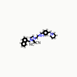 N#CC(C#N)=C1N(CCNCc2ccc(CN3CCCCC3)cc2)CCN1Cc1cccc2ccccc12